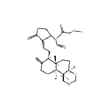 C=C1CC[C@@H]2[C@]3(C)COCO[C@@H]3CC[C@@]2(C)[C@@H]1C/C=C1/C(=O)OCC1N(C=O)C(=O)COC